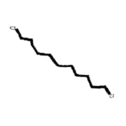 ClCCCCCCCCCCCl